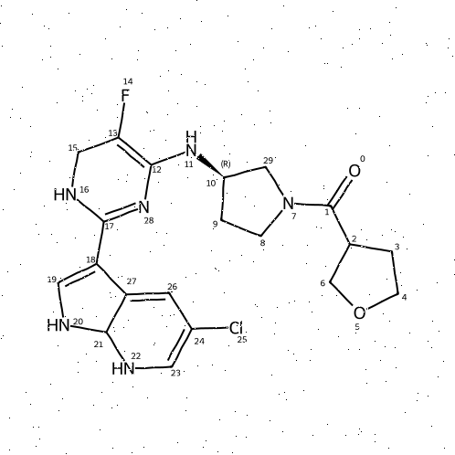 O=C(C1CCOC1)N1CC[C@@H](NC2=C(F)CNC(C3=CNC4NC=C(Cl)C=C34)=N2)C1